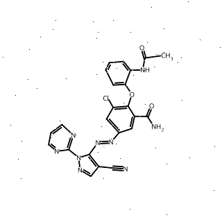 CC(=O)Nc1ccccc1Oc1c(Cl)cc(/N=N/c2c(C#N)cnn2-c2ncccn2)cc1C(N)=O